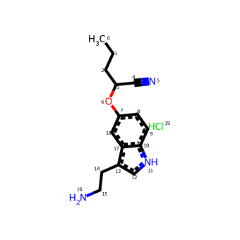 CCCC(C#N)Oc1ccc2[nH]cc(CCN)c2c1.Cl